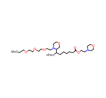 CCCCCC(CCCCCC(=O)OCCN1CCOCC1)C1COCCN1CCOCCOCCOCCOC